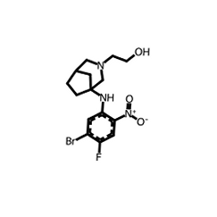 O=[N+]([O-])c1cc(F)c(Br)cc1NC12CCC(CN(CCO)C1)C2